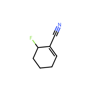 N#CC1=CCCCC1F